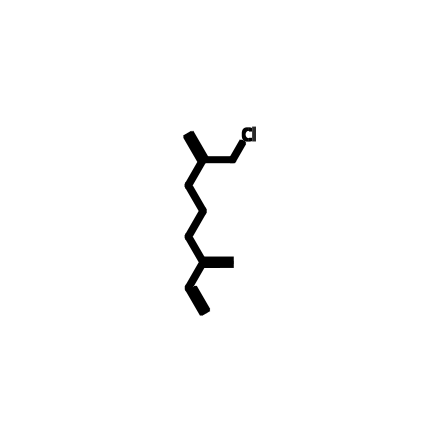 C=CC(=C)CCCC(=C)CCl